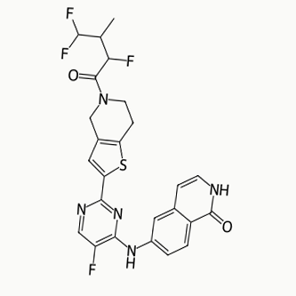 CC(C(F)F)C(F)C(=O)N1CCc2sc(-c3ncc(F)c(Nc4ccc5c(=O)[nH]ccc5c4)n3)cc2C1